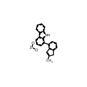 CC1=Cc2c(cccc2-c2cccc3c2[nH]c2ccccc23)[CH]1.[Cl][Zr][Cl]